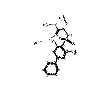 COC(=O)[C@H](CN)NS(=O)(=O)c1c(C)cc(-c2ccccc2)cc1C.Cl